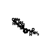 COCCN/C(N)=N/c1nc(-c2cccc(CNC(N)=O)c2)cs1